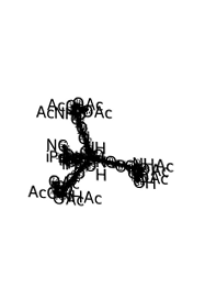 CC(=O)NC1C(OCCOCCOCCNC(=O)CN(CC(=O)NCCOCCOCCOC2OC(COC(C)=O)C(OC(C)=O)C(OC(C)=O)C2NC(C)=O)C(Cc2ccc(OP(OCCC#N)N(C(C)C)C(C)C)cc2)C(=O)NCCOCCOCCOC2OC(COC(C)=O)C(OC(C)=O)C(OC(C)=O)C2NC(C)=O)OC(CO)C(OC(C)=O)C1OC(C)=O